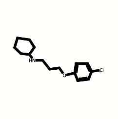 Clc1ccc(OCCCNC2CCCCC2)cc1